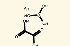 O=C(O)C(=O)O.OB(O)O.[Ag]